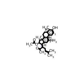 CC(=O)O[C@H]1C[C@@]2(C)[C@@H](C[C@H](N)[C@H]3[C@@]4(C)CC[C@@H](O)[C@@H](C)[C@@H]4CC[C@@]32C)/C1=C(\CC=C(C)C)C(C)=O